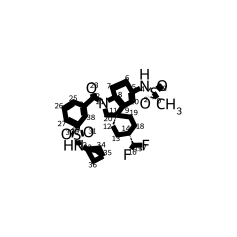 CS(=O)(=O)Nc1ccc2c(c1)[C@]1(CC[C@@H](C(F)F)CC1)CN2C(=O)c1cccc(S(=O)(=O)NC23CC(C2)C3)c1